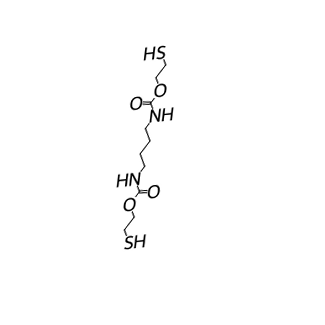 O=C(NCCCCNC(=O)OCCS)OCCS